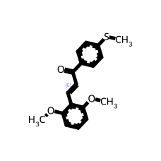 COc1cccc(OC)c1/C=C/C(=O)c1ccc(SC)cc1